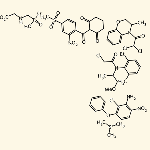 CC1COc2ccccc2N1C(=O)C(Cl)Cl.CCc1cccc(C)c1N(C(=O)CCl)C(C)COC.CS(=O)(=O)c1ccc(C(=O)C2C(=O)CCCC2=O)c([N+](=O)[O-])c1.C[S+](C)C.Nc1c([N+](=O)[O-])ccc(Oc2ccccc2)c1Cl.O=C(O)CNCP(=O)([O-])O